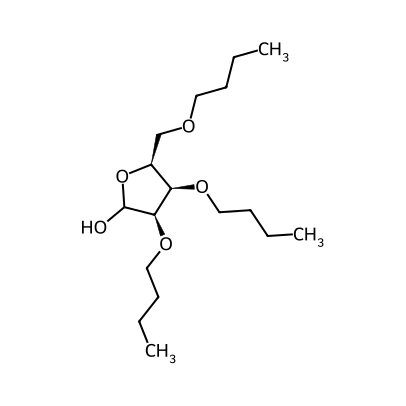 CCCCOC[C@@H]1OC(O)[C@H](OCCCC)[C@@H]1OCCCC